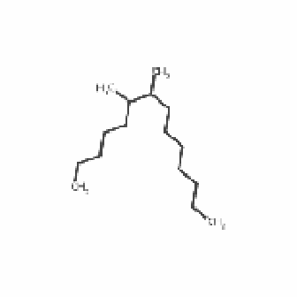 CCCCCCCC(C)[C](C)CCCCC